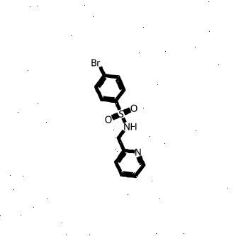 O=S(=O)(NCc1ccccn1)c1ccc(Br)cc1